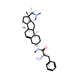 C[C@@H]1N(C)C[C@]23CCC4[C@@H](CC=C5C[C@@H](N(C)C(=O)[C@H](N)Cc6ccccc6)CC[C@@]54C)C2CC[C@]13C